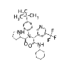 CC(C)(C)c1ccc(N(C(=O)C2CCCN2)C(C(=O)NC2CCCCC2)c2cncc(C(F)(F)F)c2)cc1